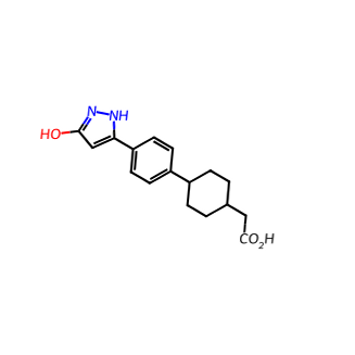 O=C(O)CC1CCC(c2ccc(-c3cc(O)n[nH]3)cc2)CC1